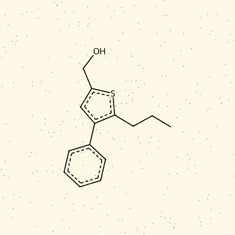 CCCc1sc(CO)cc1-c1ccccc1